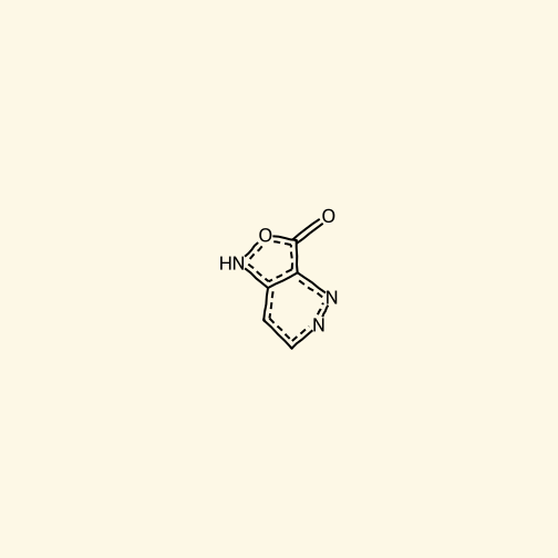 O=c1o[nH]c2ccnnc12